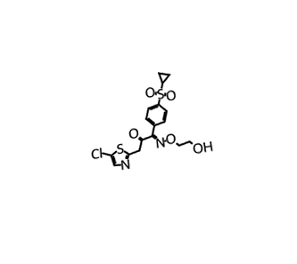 O=C(Cc1ncc(Cl)s1)/C(=N/OCCO)c1ccc(S(=O)(=O)C2CC2)cc1